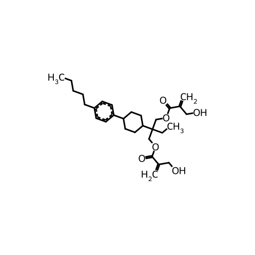 C=C(CO)C(=O)OCC(CC)(COC(=O)C(=C)CO)C1CCC(c2ccc(CCCCC)cc2)CC1